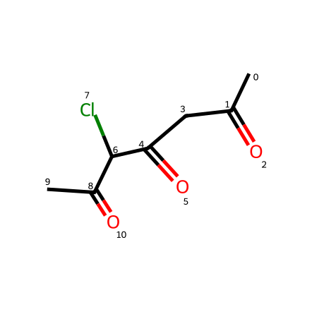 CC(=O)CC(=O)C(Cl)C(C)=O